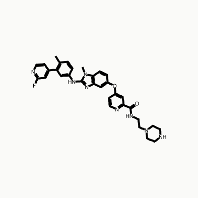 Cc1ccc(Nc2nc3cc(Oc4ccnc(C(=O)NCCN5CCNCC5)c4)ccc3n2C)cc1-c1ccnc(F)c1